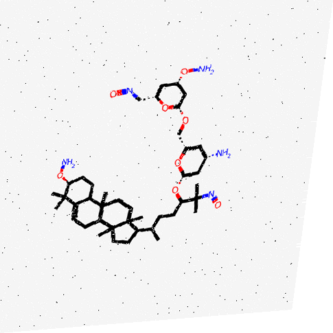 CC(CCC(O[C@H]1C[C@@H](N)C[C@@H](CO[C@H]2C[C@@H](ON)C[C@@H](CN=O)O2)O1)C(C)(C)N=O)C1CCC2(C)C3CC=C4C(CC[C@H](ON)C4(C)C)C3(C)CCC12C